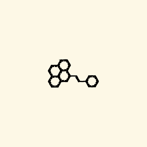 [c]1ccc2c(C=Cc3ccccc3)cc3cccc4ccc1c2c43